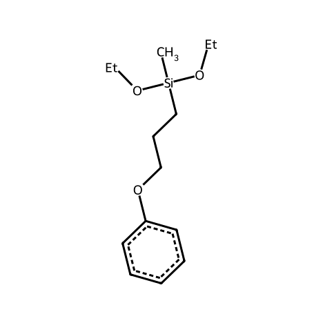 CCO[Si](C)(CCCOc1ccccc1)OCC